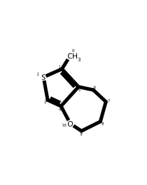 Cc1scc2c1CCCCO2